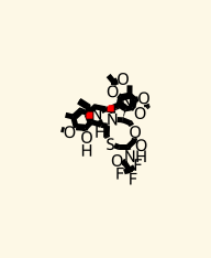 C=CCN1C2Cc3cc(C)c(OC)c(O)c3C1[C@@H]1CSCC(NC(=O)C(F)(F)F)C(=O)OC[C@@H](c3c(C)c(OC(C)=O)c(C)c4c3OCO4)N1[C@H]2C#N